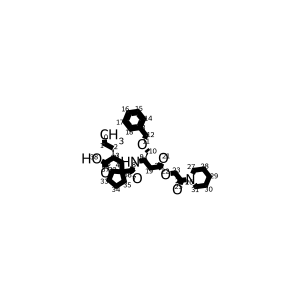 CCC[C@H](CC1(C(=O)N[C@H](COCc2ccccc2)CC(=O)OCC(=O)N2CCCCC2)CCCC1)C(=O)O